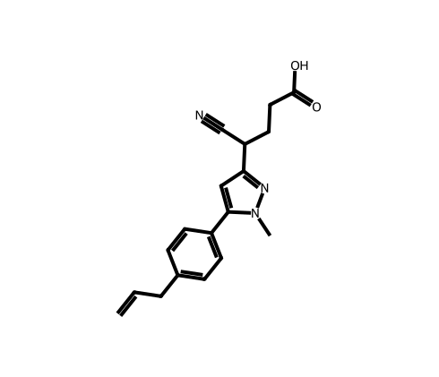 C=CCc1ccc(-c2cc(C(C#N)CCC(=O)O)nn2C)cc1